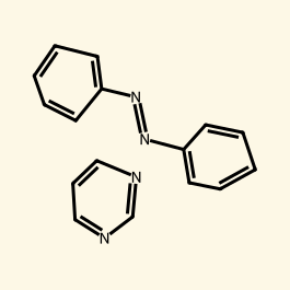 c1ccc(N=Nc2ccccc2)cc1.c1cncnc1